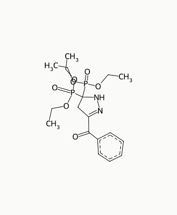 CCOP(=O)(OCC)C1(P(=O)(OCC)OCC)CC(C(=O)c2ccccc2)=NN1